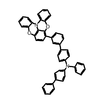 c1ccc(-c2ccc(N(c3ccccc3)c3ccc(-c4cccc(-c5ccc6c7c5Oc5ccccc5N7c5ccccc5O6)c4)cc3)cc2)cc1